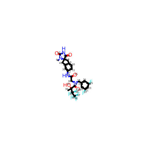 CN1C(=O)NC(=O)C12Cc1ccc(NC(=O)CN(Cc3cc(F)cc(F)c3)C(=O)C(C)(O)C(F)(F)C(F)(F)F)cc1C2